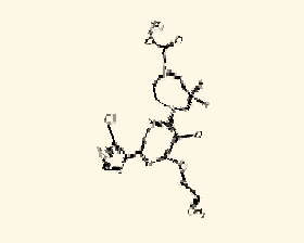 C=CCOc1nc(-c2scnc2Cl)nc(N2CCN(C(=O)OC(C)(C)C)CC(F)(F)C2)c1Cl